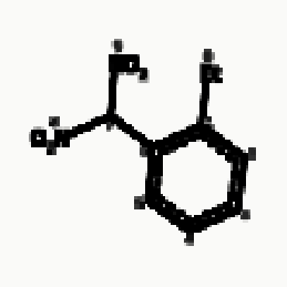 CCc1ccccc1[C]([N+](=O)[O-])[N+](=O)[O-]